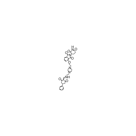 O=C1CCC(N2C(=O)c3cccc(OCCN4CCN(CCNC=C5C(=O)CC(c6ccccc6)CC5=O)CC4)c3C2=O)C(=O)N1